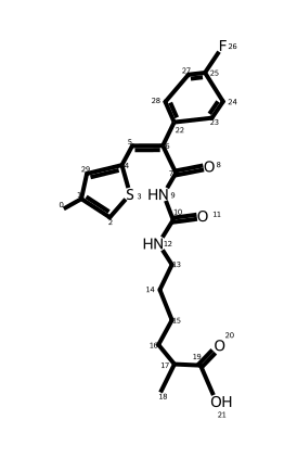 Cc1csc(C=C(C(=O)NC(=O)NCCCCC(C)C(=O)O)c2ccc(F)cc2)c1